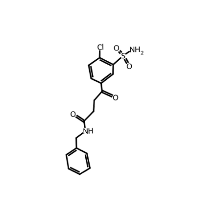 NS(=O)(=O)c1cc(C(=O)CCC(=O)NCc2ccccc2)ccc1Cl